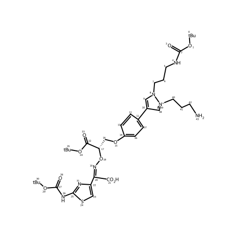 CC(C)(C)OC(=O)NCCCn1cc(-c2ccc(OC[C@H](O/N=C(\C(=O)O)c3csc(NC(=O)OC(C)(C)C)n3)C(=O)OC(C)(C)C)cc2)c[n+]1CCCN